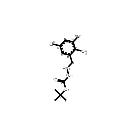 CC(C)(C)OC(=O)NNCc1cc(Cl)cc(Br)c1O